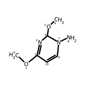 COC1=NC(OC)N(N)C=C1